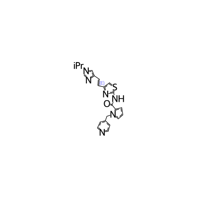 CC(C)n1cnc(/C=C/c2csc(NC(=O)c3cccn3Cc3ccncc3)n2)c1